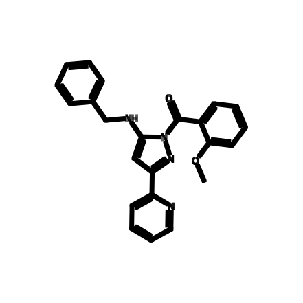 COc1ccccc1C(=O)n1nc(-c2ccccn2)cc1NCc1ccccc1